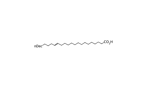 CCCCCCCCCCCCCC=CCCCCCCCCCCCCCC(=O)O